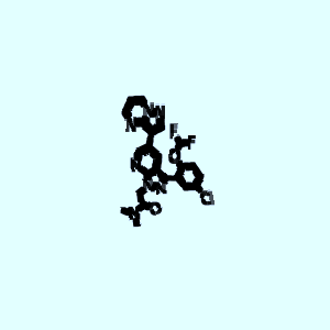 CN(C)C(=O)Cn1nc(-c2cc(Cl)ccc2OC(F)F)c2cc(-c3cnn4cccnc34)cnc21